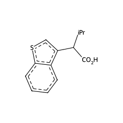 CC(C)C(C(=O)O)c1csc2ccccc12